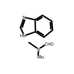 CCCCN(C)C=O.c1ccc2[nH]cnc2c1